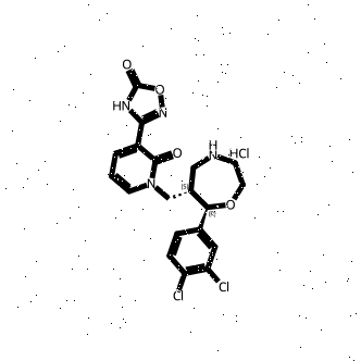 Cl.O=c1[nH]c(-c2cccn(C[C@@H]3CNCCO[C@H]3c3ccc(Cl)c(Cl)c3)c2=O)no1